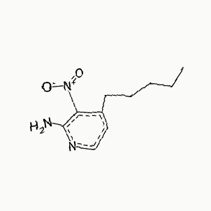 CCCCCc1ccnc(N)c1[N+](=O)[O-]